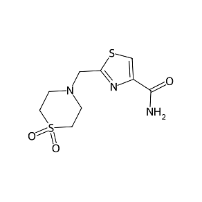 NC(=O)c1csc(CN2CCS(=O)(=O)CC2)n1